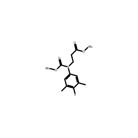 Cc1cc(N(CCC(=O)OC(C)(C)C)C(=O)OC(C)(C)C)cc(C)c1F